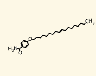 CCCCCCCCC=CCCCCCCCCOc1ccc(C(N)=O)cc1